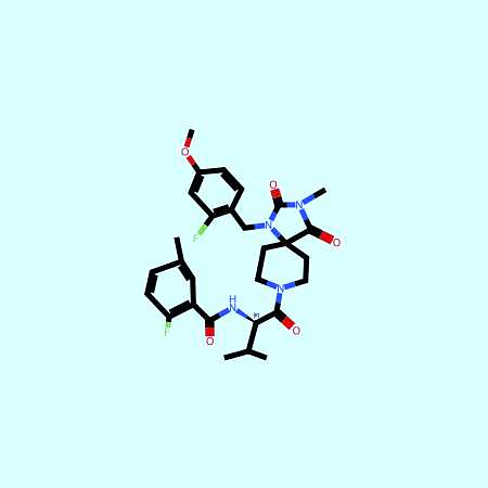 COc1ccc(CN2C(=O)N(C)C(=O)C23CCN(C(=O)[C@H](NC(=O)c2cc(C)ccc2F)C(C)C)CC3)c(F)c1